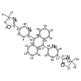 CC1(C)COC(c2ccc(-c3c4ccccc4c(-c4ccc(C5=NC(C)(C)CO5)cn4)c4ccccc34)nc2)=N1